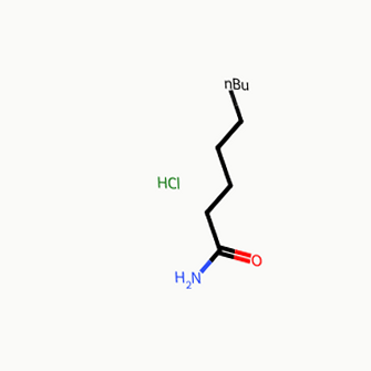 CCCCCCCCC(N)=O.Cl